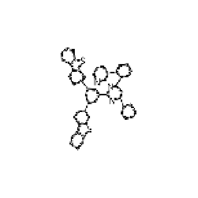 c1ccc(-c2cc(-c3ccccc3-c3cccnc3)nc(-c3cc(-c4ccc5c(c4)sc4ccccc45)cc(-c4ccc5c(c4)sc4ccccc45)c3)n2)cc1